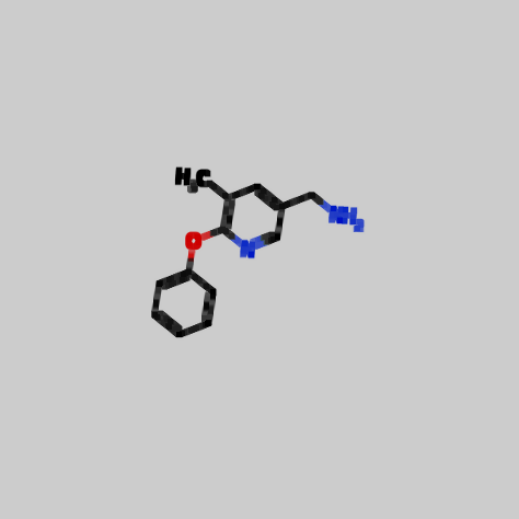 Cc1cc(CN)cnc1Oc1ccccc1